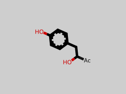 CC(=O)C(O)Cc1ccc(O)cc1